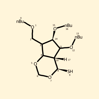 CCCCOCC1C2OCO[C@H](S)[C@H]2C(OCCCC)[C@@H]1OCCCC